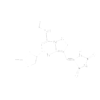 CC1=CCC(c2cc(NC(C)C)n3ncc(/C=C4\NC(=O)NC4=O)c3n2)S1